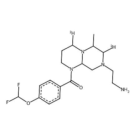 [2H]C1C(C)N2C([2H])CCN(C(=O)c3ccc(OC(F)F)cc3)C2CN1CCN